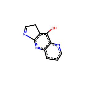 Oc1c2c(nc3cccnc13)N=CC2